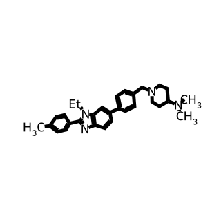 CCn1c(-c2ccc(C)cc2)nc2ccc(-c3ccc(CN4CCC(N(C)C)CC4)cc3)cc21